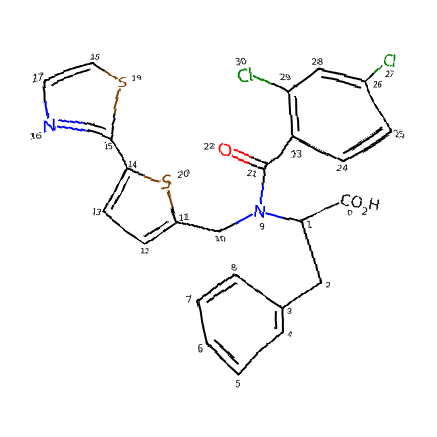 O=C(O)C(Cc1ccccc1)N(Cc1ccc(-c2nccs2)s1)C(=O)c1ccc(Cl)cc1Cl